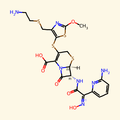 COc1nc(CSCCN)c(SC2=C(C(=O)O)N3C(=O)[C@@H](NC(=O)/C(=N\O)c4cccc(N)n4)[C@@H]3SC2)s1